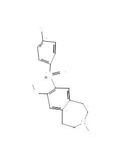 CCSc1cc2c(cc1S(=O)(=O)c1ccc(F)cc1)CCN(C)CC2